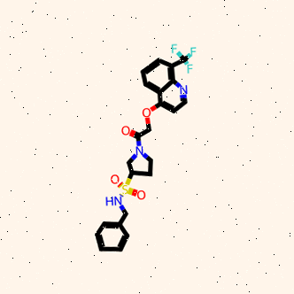 O=C(COc1ccnc2c(C(F)(F)F)cccc12)N1CCC(S(=O)(=O)NCc2ccccc2)C1